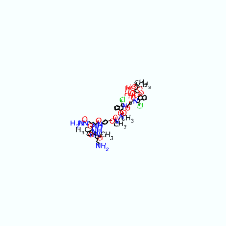 CC(=O)N[C@@H](CCCCN)C(=O)N[C@H](C(=O)NC(CCCNC(N)=O)C(=O)Nc1ccc(COC(=O)N(C)CCN(C)C(=O)Oc2cc3c(c4ccccc24)[C@H](CCl)CN3C(=O)C23CC(C(=O)N4C[C@@H](CCl)c5c4cc(O[C@@H]4O[C@H]([C@H](C)C(C)O)[C@@H](O)[C@H](O)[C@H]4O)c4ccccc54)(C2)C3)cc1)C(C)C